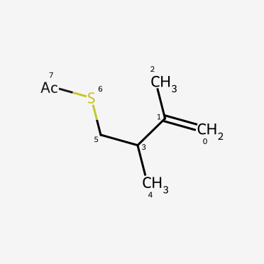 C=C(C)C(C)CSC(C)=O